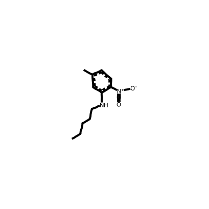 CCCCCNc1cc(C)ccc1[N+](=O)[O-]